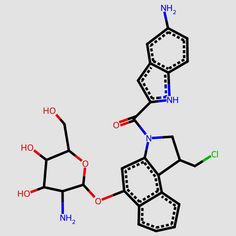 Nc1ccc2[nH]c(C(=O)N3CC(CCl)c4c3cc(OC3OC(CO)C(O)C(O)C3N)c3ccccc43)cc2c1